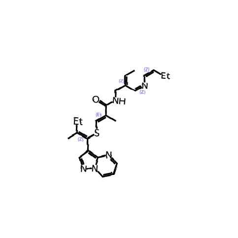 C\C=C(/C=N\C=C/CC)CNC(=O)/C(C)=C/S/C(=C(/C)CC)c1cnn2cccnc12